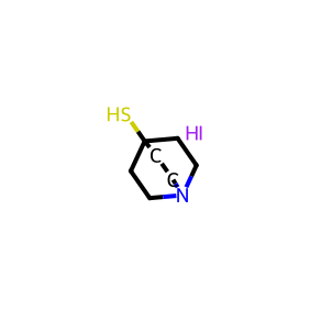 I.SC12CCN(CC1)CC2